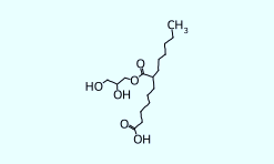 CCCCCCC(CCCCCC(=O)O)C(=O)OCC(O)CO